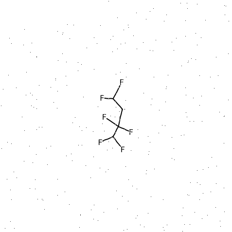 FC(F)[CH]C(F)(F)C(F)F